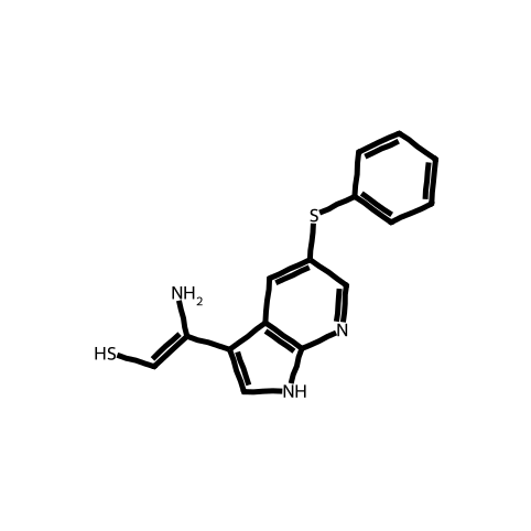 N/C(=C\S)c1c[nH]c2ncc(Sc3ccccc3)cc12